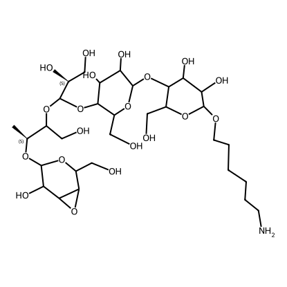 C[C@H](OC1OC(CO)C2OC2C1O)C(CO)OC(OC1C(CO)OC(OC2C(CO)OC(OCCCCCCN)C(O)C2O)C(O)C1O)[C@@H](O)CO